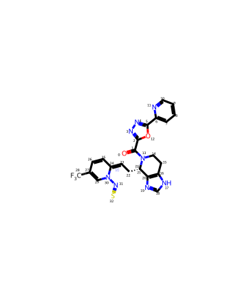 O=C(c1nnc(-c2ccccn2)o1)N1CCc2[nH]cnc2[C@@H]1C/C=C1/C=CC(C(F)(F)F)=CN1N=S